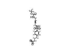 CC(C)(C)OC(=O)NCC#CCNS(=O)(=O)c1ccc(CCC[N+](=O)[O-])cc1